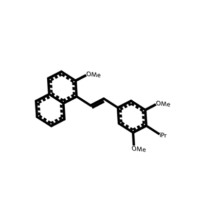 COc1cc(/C=C/c2c(OC)ccc3ccccc23)cc(OC)c1C(C)C